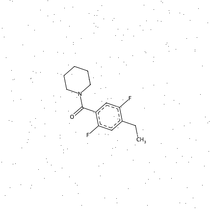 CCc1cc(F)c(C(=O)N2CCCCC2)cc1F